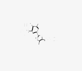 CCOC(=O)c1sc(-c2cc(I)c(N)c([N+](=O)[O-])c2)nc1C